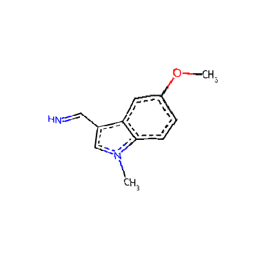 COc1ccc2c(c1)c(C=N)cn2C